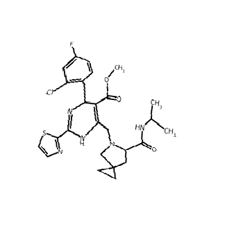 COC(=O)C1=C(CN2CC3(CC3)CC2C(=O)NC(C)C)NC(c2nccs2)=NC1c1ccc(F)cc1Cl